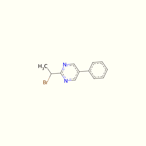 CC(Br)c1ncc(-c2ccccc2)cn1